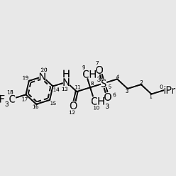 CC(C)CCCCS(=O)(=O)C(C)(C)C(=O)Nc1ccc(C(F)(F)F)cn1